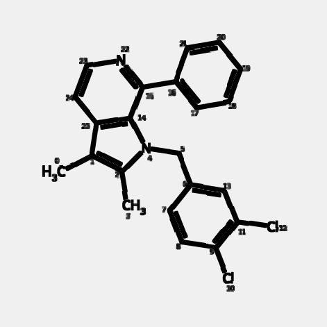 Cc1c(C)n(Cc2ccc(Cl)c(Cl)c2)c2c(-c3ccccc3)nccc12